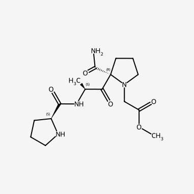 COC(=O)CN1CCC[C@]1(C(N)=O)C(=O)[C@H](C)NC(=O)[C@@H]1CCCN1